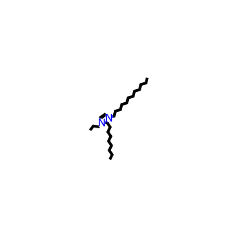 CCCCCCCCCCCCN1C=CN(CCC)C1CCCCCCCC